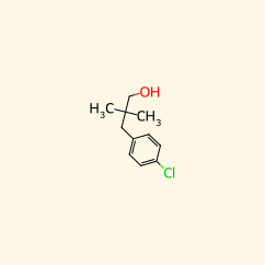 CC(C)(CO)Cc1ccc(Cl)cc1